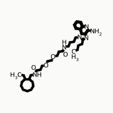 CCCCc1nc2c(N)nc3ccccc3c2n1CCCCNC(=O)CCOCCOCCC(=O)NCC1CCCCCCCC1CC